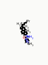 CC(C)CCC[C@@H](C)[C@H]1CCC2C3CC=C4CC(N(N)C(=O)N5CCN(C)CC5)CC[C@]4(C)C3CC[C@@]21C